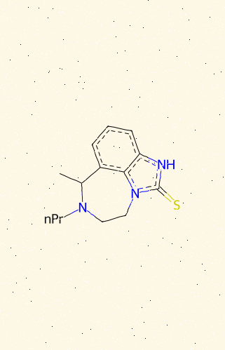 CCCN1CCn2c(=S)[nH]c3cccc(c32)C1C